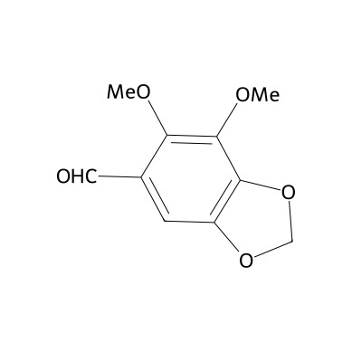 COc1c(C=O)cc2c(c1OC)OCO2